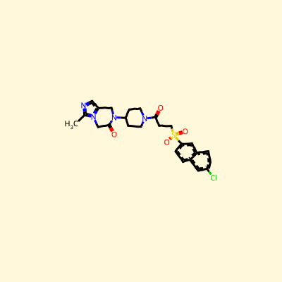 Cc1ncc2n1CC(=O)N(C1CCN(C(=O)CCS(=O)(=O)c3ccc4cc(Cl)ccc4c3)CC1)C2